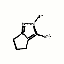 CC(C)n1nc2c(c1N)CCC2